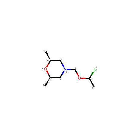 CC(Br)OCN1C[C@@H](C)O[C@@H](C)C1